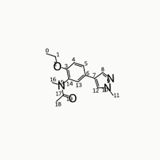 CCOc1ccc(-c2cnn(C)c2)cc1N(C)C(C)=O